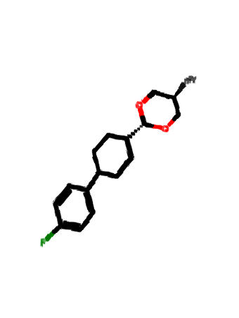 CCC[C@H]1CO[C@H](C2CCC(c3ccc(F)cc3)CC2)OC1